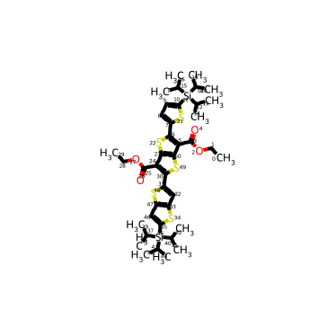 CCOC(=O)c1c(-c2ccc([Si](C(C)C)(C(C)C)C(C)C)s2)sc2c(C(=O)OCC)c(-c3cc4sc([Si](C(C)C)(C(C)C)C(C)C)cc4s3)sc12